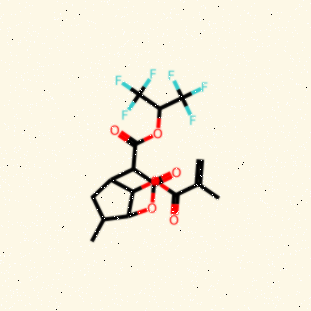 C=C(C)C(=O)OC1C2CC(C)C1OC(=O)C2C(=O)OC(C(F)(F)F)C(F)(F)F